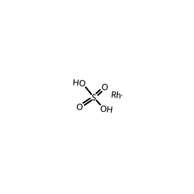 O=S(=O)(O)O.[Rh]